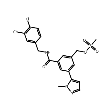 Cn1nccc1-c1cc(COS(C)(=O)=O)cc(C(=O)NCc2ccc(Cl)c(Cl)c2)c1